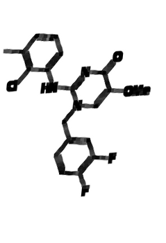 COc1cn(Cc2ccc(F)c(F)c2)c(Nc2cccc(C)c2Cl)nc1=O